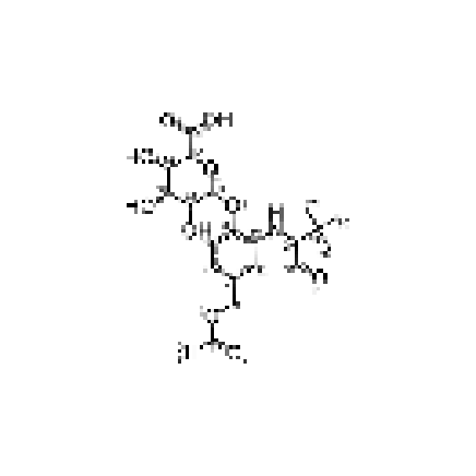 [2H]C(=O)OCc1ccc(OC2OC(C(=O)O)C(O)[C@H](O)[C@@H]2O)c(NC(C=O)C(C)(C)C)c1